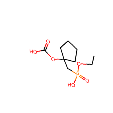 CCOP(=O)(O)CC1(OC(=O)O)CCCC1